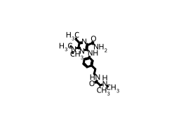 CCc1nc(C(N)=O)c(Nc2cccc(CCNC(=O)[C@H](C)NC)c2)nc1N(C)C